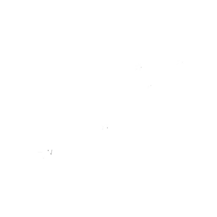 NCCOCCC(=O)C=O